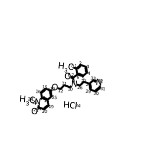 Cc1ccccc1C(=O)N(CCCOc1ccc2c(ccc(=O)n2C)c1)CCc1cccnc1.Cl